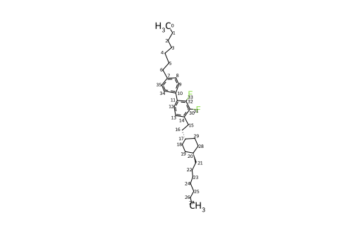 CCCCCCCc1ccc(-c2ccc(CC[C@H]3CC[C@H](CCCCCCC)CC3)c(F)c2F)cc1